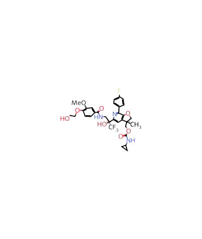 COc1cc(C(=O)NC[C@](O)(c2cc3c(c(-c4ccc(F)cc4)n2)OC[C@]3(C)COC(=O)NC2CC2)C(F)(F)F)ccc1OCCO